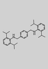 CC(C)c1cccc(C(C)C)c1NCc1ccc(CNc2c(C(C)C)cccc2C(C)C)cc1